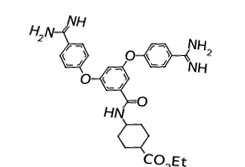 CCOC(=O)C1CCC(NC(=O)c2cc(Oc3ccc(C(=N)N)cc3)cc(Oc3ccc(C(=N)N)cc3)c2)CC1